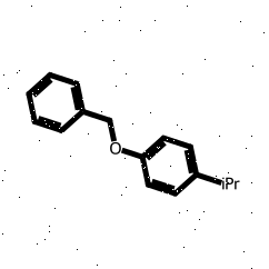 CC(C)c1ccc(OCc2ccccc2)cc1